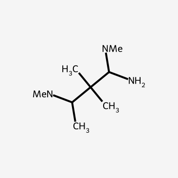 CNC(C)C(C)(C)C(N)NC